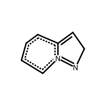 C1=c2cccc[n+]2=NC1